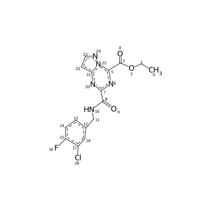 CCOC(=O)c1nc(C(=O)NCc2ccc(F)c(Cl)c2)nc2ccnn12